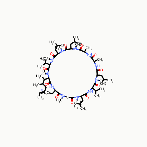 C/C=C/CC(C)C(C)C1C(=O)NC(CC)C(=O)N(C)CC(=O)N(C)C(CC(C)C)C(=O)NC(C(C)C)C(=O)N(C)C(CC(C)C)C(=O)NC(C)C(=O)NC(C)C(=O)N(C)C(CC(C)C)C(=O)N(C)C(CC(C)C)C(=O)N(C)C(C(C)C)C(=O)N1C